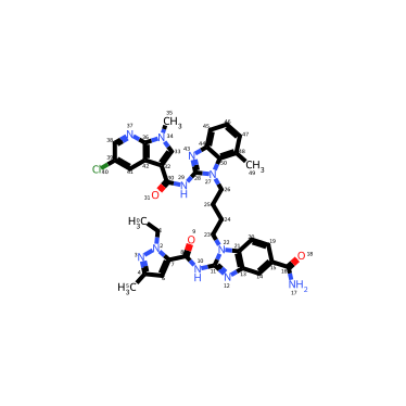 CCn1nc(C)cc1C(=O)Nc1nc2cc(C(N)=O)ccc2n1CCCCn1c(NC(=O)c2cn(C)c3ncc(Cl)cc23)nc2cccc(C)c21